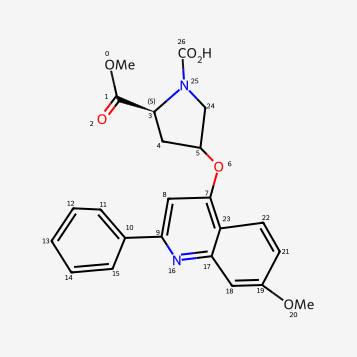 COC(=O)[C@@H]1CC(Oc2cc(-c3ccccc3)nc3cc(OC)ccc23)CN1C(=O)O